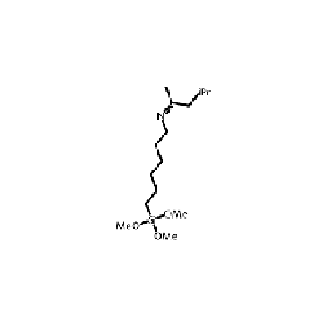 CO[Si](CCCCCCN=C(C)CC(C)C)(OC)OC